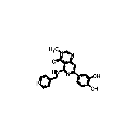 Cn1cnc2cc(-c3ccc(O)c(O)c3)nc(NCc3ccncc3)c2c1=O